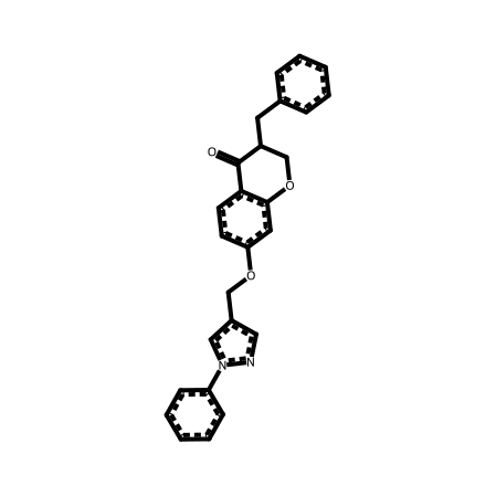 O=C1c2ccc(OCc3cnn(-c4ccccc4)c3)cc2OCC1Cc1ccccc1